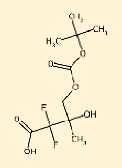 CC(C)(C)OC(=O)OCC(C)(O)C(F)(F)C(=O)O